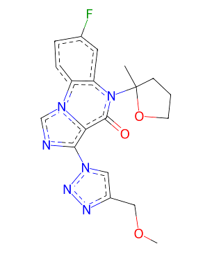 COCc1cn(-c2ncn3c2c(=O)n(C2(C)CCCO2)c2cc(F)ccc23)nn1